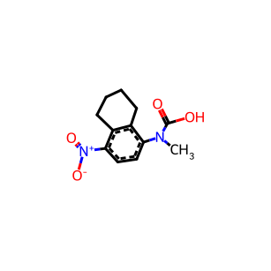 CN(C(=O)O)c1ccc([N+](=O)[O-])c2c1CCCC2